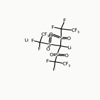 [Li].[Li][C](S(=O)(=O)C(F)(F)C(F)(F)F)(S(=O)(=O)C(F)(F)C(F)(F)F)S(=O)(=O)C(F)(F)C(F)(F)F